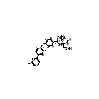 C=C(C)O/C(=C\C)c1ccc(Oc2ccc(C(O)CC(CO)(CO)NCl)cc2)cc1